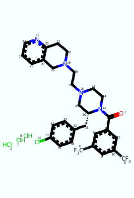 Cl.Cl.Cl.O=C(c1cc(C(F)(F)F)cc(C(F)(F)F)c1)N1CCN(CCN2CCc3ncccc3C2)C[C@H]1Cc1ccc(Cl)cc1